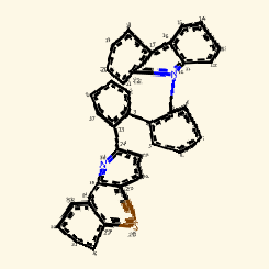 c1ccc(-c2ccccc2-n2c3ccccc3c3ccccc32)c(-c2ccc3sc4ccccc4c3n2)c1